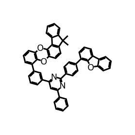 CC1(C)c2ccccc2-c2c1ccc1c2Oc2cccc(-c3cccc(-c4cc(-c5ccccc5)nc(-c5ccc(-c6cccc7c6oc6ccccc67)cc5)n4)c3)c2O1